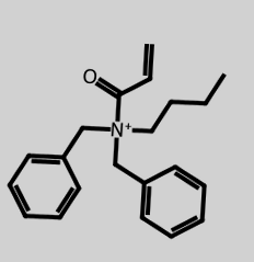 C=CC(=O)[N+](CCCC)(Cc1ccccc1)Cc1ccccc1